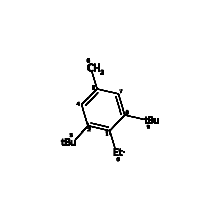 C[CH]c1c(C(C)(C)C)cc(C)cc1C(C)(C)C